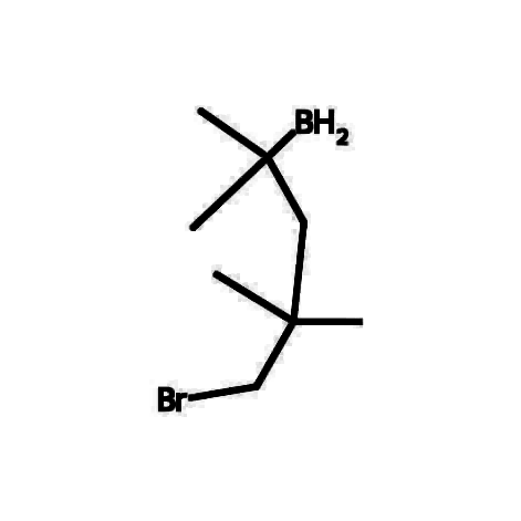 BC(C)(C)CC(C)(C)CBr